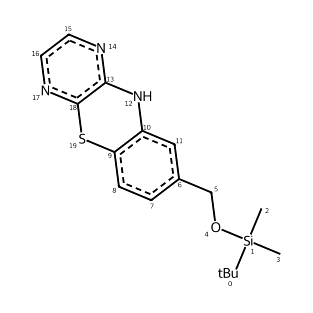 CC(C)(C)[Si](C)(C)OCc1ccc2c(c1)Nc1nccnc1S2